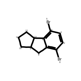 Brc1ccc(Br)c2c1CC1CCCC21